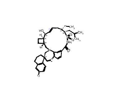 CO[C@H]1C/C=C/[C@H](O)[C@@H]2CC[C@H]2CN2C[C@@]3(CCCc4cc(Cl)ccc43)COc3ccc(cc32)C(=O)NS(=O)(=O)[C@@H]1CC(C)C